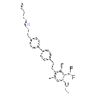 C=CCC/C=C/CCc1ccc(-c2ccc(CCc3c(C)cc(OCC)c(C(F)F)c3F)cc2)cc1